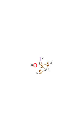 O=S12(I)SC1S2